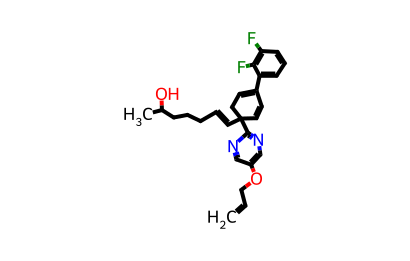 C=CCOc1cnc(C2(/C=C/CCCC(C)O)C=CC(c3cccc(F)c3F)=CC2)nc1